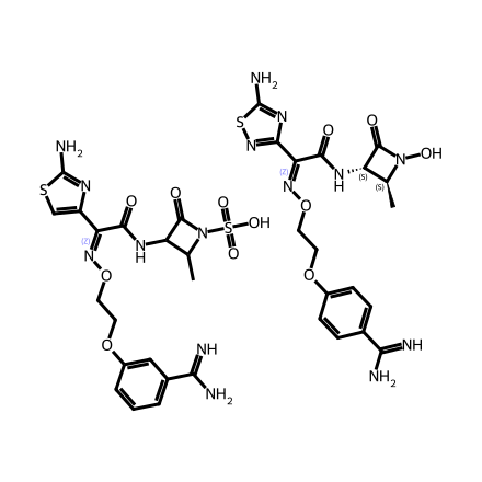 CC1C(NC(=O)/C(=N\OCCOc2cccc(C(=N)N)c2)c2csc(N)n2)C(=O)N1S(=O)(=O)O.C[C@H]1[C@H](NC(=O)/C(=N\OCCOc2ccc(C(=N)N)cc2)c2nsc(N)n2)C(=O)N1O